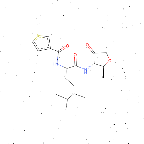 CC(C)C(C)CC[C@H](NC(=O)c1ccsc1)C(=O)N[C@@H]1C(=O)CO[C@H]1C